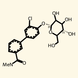 CNC(=O)c1cccc(-c2ccc(O[C@H]3OC(CO)[C@@H](O)C(O)C3O)c(Cl)c2)c1